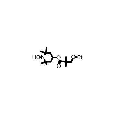 CCOCC(C)(C)C(=O)OC1CC(C)(C)N(O)C(C)(C)C1